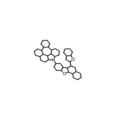 C1CCC2OC(C3CC4CCCCC4C4OC5CCC(N6C7CCCC8C9CCCCC9C9CCCC%10CCC6C(C%109)C87)CC5C34)CC2C1